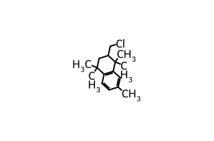 Cc1ccc2c(c1)C(C)(C)C(CCl)CC2(C)C